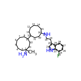 CC1(N)CCCCCCC(C2CCCCCC(NCCc3c[nH]c4c(F)cccc34)CC2)CC1